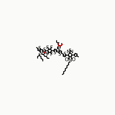 CCCCCCCCCCN1C(=O)c2c(c(-c3ccc(-c4cc5c(s4)-c4sc(-c6c(F)c(F)c(-c7cc8c(s7)-c7sc(C)cc7[Si]8(CC(CC)CCCC)CC(CC)CCCC)c(F)c6F)cc4[Si]5(CC(CC)CC)CC(CC)CCCC)s3)c3nsnc3c2C2=CC=C(C)C2)C1=O